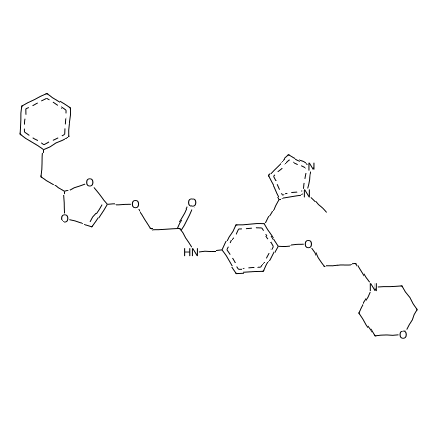 Cn1nccc1-c1cc(NC(=O)COC2=COC(Cc3ccccc3)O2)ccc1OCCN1CCOCC1